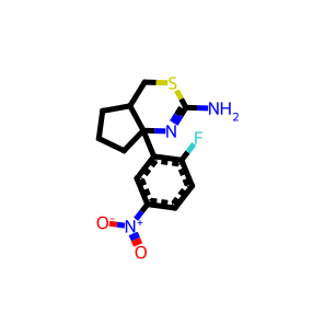 NC1=NC2(c3cc([N+](=O)[O-])ccc3F)CCCC2CS1